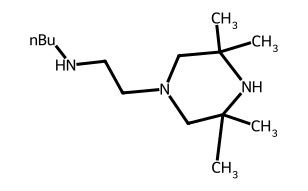 CCCCNCCN1CC(C)(C)NC(C)(C)C1